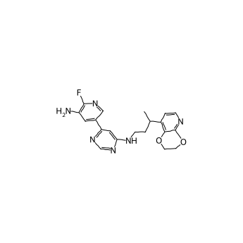 CC(CCNc1cc(-c2cnc(F)c(N)c2)ncn1)c1ccnc2c1OCCO2